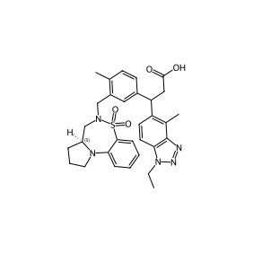 CCn1nnc2c(C)c(C(CC(=O)O)c3ccc(C)c(CN4C[C@@H]5CCCN5c5ccccc5S4(=O)=O)c3)ccc21